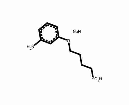 Nc1cccc(OCCCCS(=O)(=O)O)c1.[NaH]